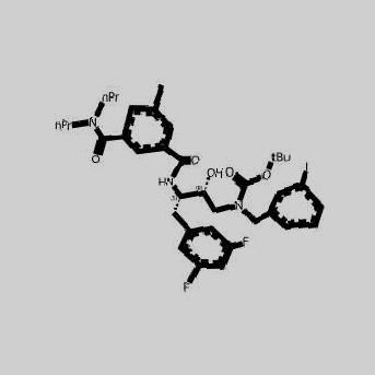 CCCN(CCC)C(=O)c1cc(C)cc(C(=O)N[C@@H](Cc2cc(F)cc(F)c2)[C@H](O)CN(Cc2cccc(I)c2)C(=O)OC(C)(C)C)c1